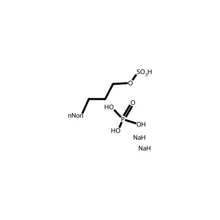 CCCCCCCCCCCCOS(=O)(=O)O.O=P(O)(O)O.[NaH].[NaH]